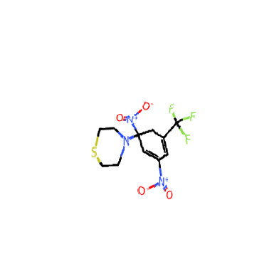 O=[N+]([O-])C1=CC(N2CCSCC2)([N+](=O)[O-])CC(C(F)(F)F)=C1